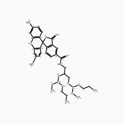 CCCOP(OC)OCC(CNC(=O)c1ccc2c(c1)C(=O)OC21c2ccc(O)cc2Oc2cc(O)ccc21)OP(OC)OCCC